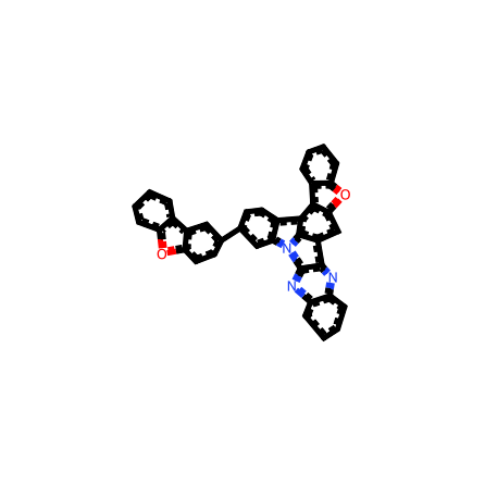 c1ccc2nc3c(nc2c1)c1cc2oc4ccccc4c2c2c4ccc(-c5ccc6oc7ccccc7c6c5)cc4n3c12